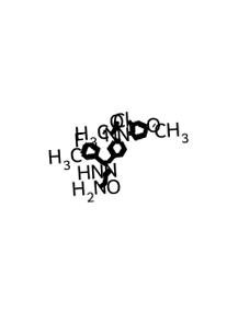 COc1ccc(-n2c(=O)n(C)c3cc(-c4nc(C(N)=O)[nH]c4-c4ccc(F)c(C)c4)ccc32)c(Cl)c1